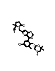 Cc1cc(Cl)cc(-c2ncnc3cc(CN4C(=O)CCC4(C)C#N)sc23)c1C[C@H]1CNCC(C)(C)O1